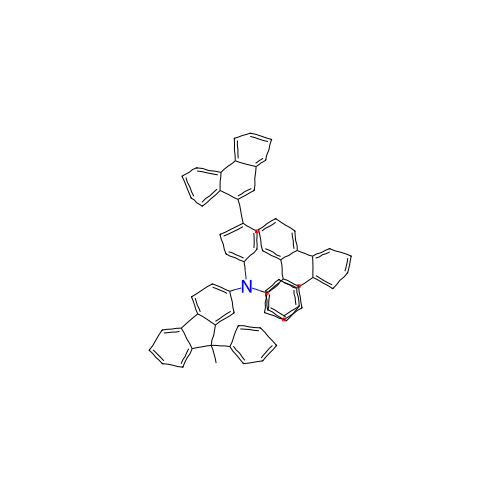 CC1(c2ccccc2)c2ccccc2-c2ccc(N(c3ccc(-c4cc5ccccc5c5ccccc45)cc3)c3ccccc3-c3ccccc3-c3ccccc3-c3ccccc3)cc21